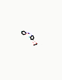 CC1(C)OB(c2ccc(Nc3nc4cc(F)ccc4o3)c(F)c2)OC1(C)C